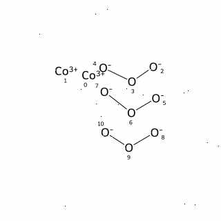 [Co+3].[Co+3].[O-]O[O-].[O-]O[O-].[O-]O[O-]